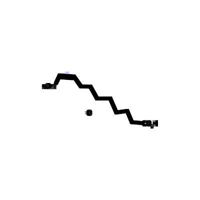 CCCCCCCC/C=C\CCCCCCCC(=O)O.[O]